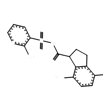 COc1ccc(Br)c2c1C(C(=O)NS(=O)(=O)c1cccnc1N)CC2